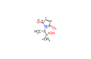 CC(O)C(C)N1C(=O)C=CC1=O